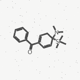 CN(C)C1([Si](C)(C)C)C=CC(C(=O)c2ccccc2)=CC1